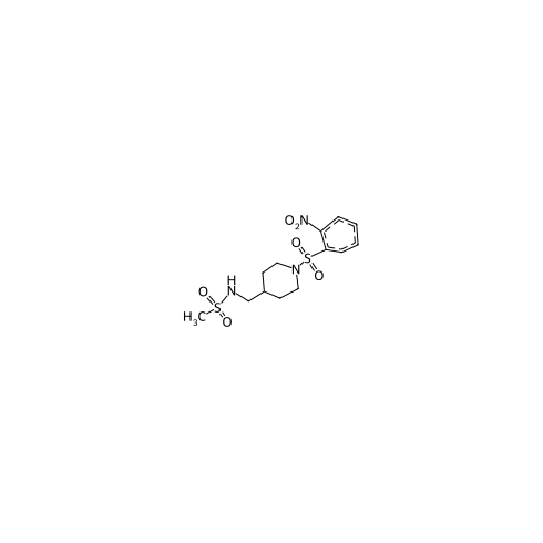 CS(=O)(=O)NCC1CCN(S(=O)(=O)c2ccccc2[N+](=O)[O-])CC1